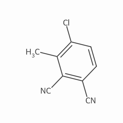 Cc1c(Cl)ccc(C#N)c1C#N